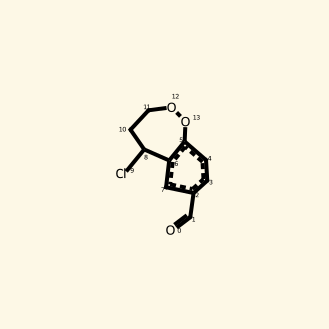 O=Cc1ccc2c(c1)C(Cl)CCOO2